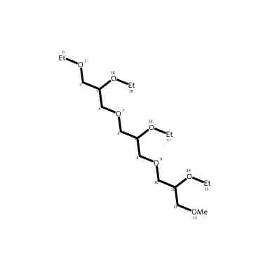 CCOCC(COCC(COCC(COC)OCC)OCC)OCC